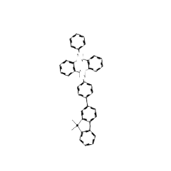 CC1(C)c2ccccc2-c2ccc(-c3ccc(N4c5ccccc5N(c5ccccc5)c5ccccc54)cc3)cc21